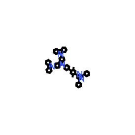 Cc1cc(-c2cc(-c3ccccc3)nc(-c3ccccc3)n2)c(C)cc1-c1ccc(-n2c3ccc(-n4c5ccccc5c5ccccc54)cc3c3cc(-n4c5ccccc5c5ccccc54)ccc32)cc1